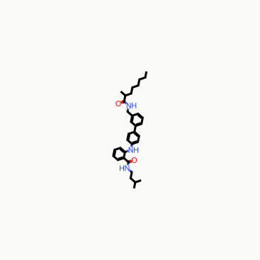 CCCCCCC(C)C(=O)NCc1cccc(-c2ccc(Nc3ccccc3C(=O)NCCC(C)C)cc2)c1